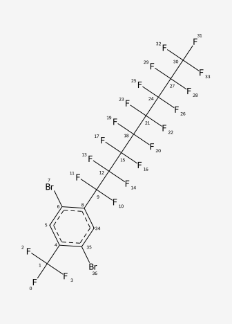 FC(F)(F)c1cc(Br)c(C(F)(F)C(F)(F)C(F)(F)C(F)(F)C(F)(F)C(F)(F)C(F)(F)C(F)(F)F)cc1Br